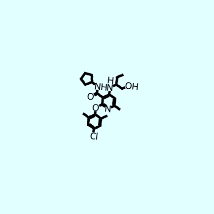 CCC(CO)Nc1cc(C)nc(Oc2c(C)cc(Cl)cc2C)c1C(=O)NC1CCCC1